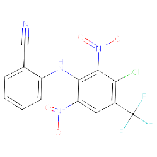 N#Cc1ccccc1Nc1c([N+](=O)[O-])cc(C(F)(F)F)c(Cl)c1[N+](=O)[O-]